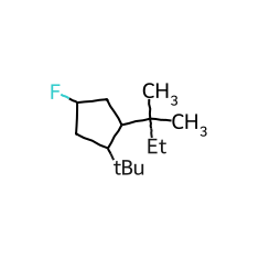 CCC(C)(C)C1CC(F)CC1C(C)(C)C